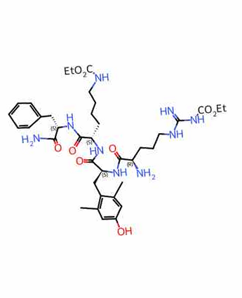 CCOC(=O)NCCCC[C@H](NC(=O)[C@H](Cc1c(C)cc(O)cc1C)NC(=O)[C@H](N)CCCNC(=N)NC(=O)OCC)C(=O)N[C@@H](Cc1ccccc1)C(N)=O